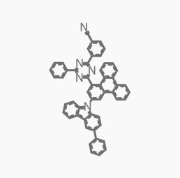 N#Cc1cccc(-c2nc(-c3ccccc3)nc(-c3cc(-n4c5ccccc5c5cc(-c6ccccc6)ccc54)cc4c5ccccc5c5ccccc5c34)n2)c1